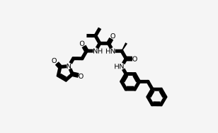 CC(C)C(NC(=O)CCN1C(=O)C=CC1=O)C(=O)N[C@@H](C)C(=O)Nc1cccc(Cc2ccccc2)c1